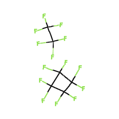 FC(F)(F)C(F)(F)F.FC1(F)C(F)(F)C(F)(F)C1(F)F